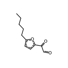 CCCCCc1ccc(C(=O)C=O)o1